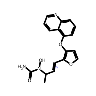 CC(/C=C/c1occc1Oc1cccc2ncccc12)N(O)C(N)=O